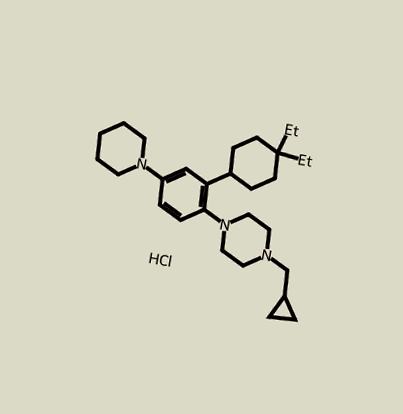 CCC1(CC)CCC(c2cc(N3CCCCC3)ccc2N2CCN(CC3CC3)CC2)CC1.Cl